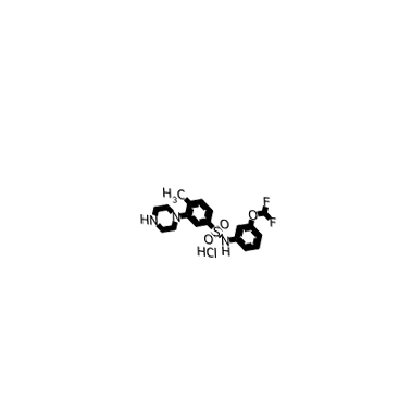 Cc1ccc(S(=O)(=O)Nc2cccc(OC(F)F)c2)cc1N1CCNCC1.Cl